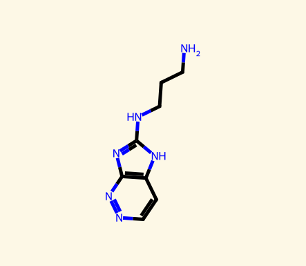 NCCCNc1nc2nnccc2[nH]1